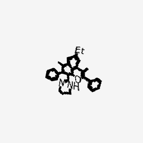 CCc1cc2c3c(c(C4=NCCCN4)c(-c4ccccc4)c(C)c3c1)OC(c1ccccc1)=C2C